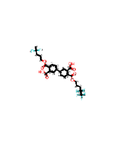 CC(F)(F)CCCOC(=O)c1ccc(-c2ccc(C(=O)OCCCC(F)(F)C(F)(F)F)c(C(=O)O)c2)cc1C(=O)O